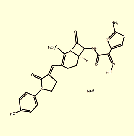 Nc1nc(/C(=N/O)C(=O)N[C@@H]2C(=O)N3C(C(=O)O)=C(/C=C4\CCN(c5ccc(O)cc5)C4=O)CC[C@H]23)cs1.[NaH]